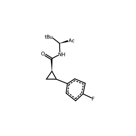 CC(=O)[C@@H](NC(=O)[C@@H]1CC1c1ccc(F)cc1)C(C)(C)C